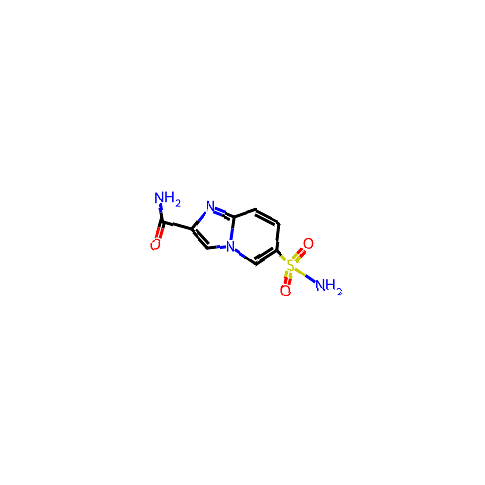 NC(=O)c1cn2cc(S(N)(=O)=O)ccc2n1